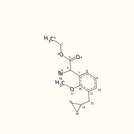 CCOC(=O)C(Br)c1cccc(CC2CC2)c1OC